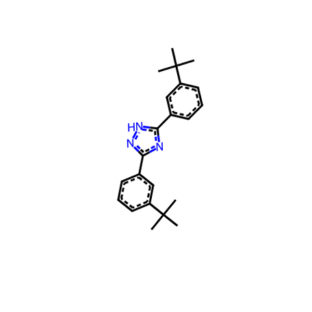 CC(C)(C)c1cccc(-c2n[nH]c(-c3cccc(C(C)(C)C)c3)n2)c1